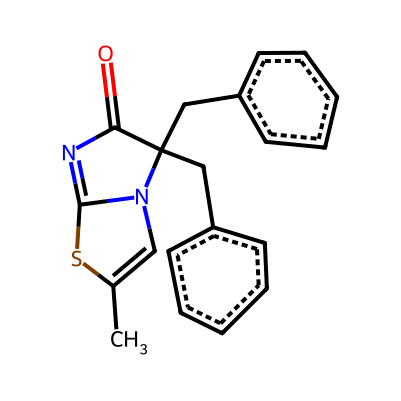 CC1=CN2C(=NC(=O)C2(Cc2ccccc2)Cc2ccccc2)S1